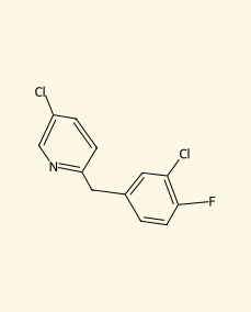 Fc1ccc(Cc2ccc(Cl)cn2)cc1Cl